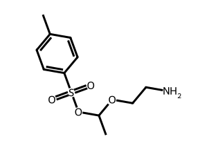 Cc1ccc(S(=O)(=O)OC(C)OCCN)cc1